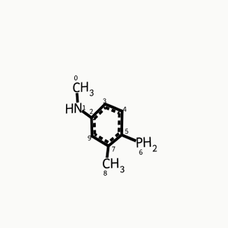 CNc1ccc(P)c(C)c1